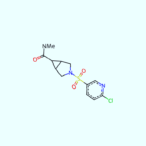 CNC(=O)C1C2CN(S(=O)(=O)c3ccc(Cl)nc3)CC21